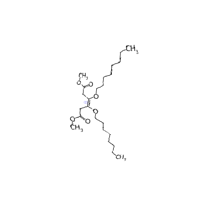 CCCCCCCCO/C(CC(=O)OC)=C(/CC(=O)OC)OCCCCCCCC